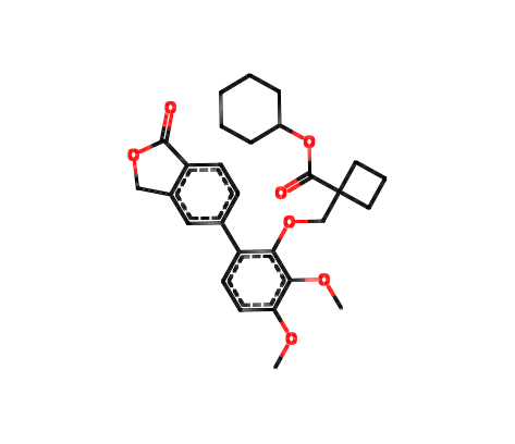 COc1ccc(-c2ccc3c(c2)COC3=O)c(OCC2(C(=O)OC3CCCCC3)CCC2)c1OC